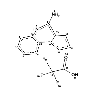 Nc1[nH]c2ccccc2c2cccc1-2.O=C(O)C(F)(F)F